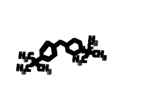 CC(C)(C)c1ccc(CC2CCN(C(C)(C)C)CC2)cc1